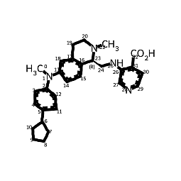 CN(c1ccc(C2CCCC2)cc1)c1ccc2c(c1)CCN(C)[C@H]2CNc1cnccc1C(=O)O